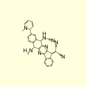 CN1C=CC=CC1c1ccc2c(c1)C(NC#N)c1nc3c(nc1C2N)-c1ccccc1C3=C(C#N)C#N